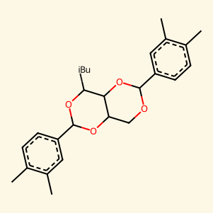 CCC(C)C1OC(c2ccc(C)c(C)c2)OC2COC(c3ccc(C)c(C)c3)OC21